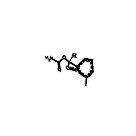 CC[C@](OC)(OC(N)=O)c1cccc(I)c1